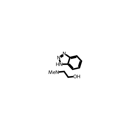 CNCCO.c1ccc2[nH]nnc2c1